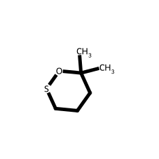 CC1(C)CCCSO1